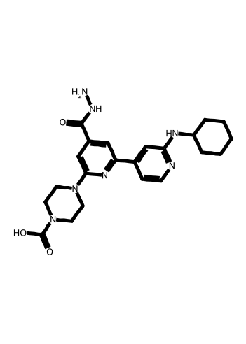 NNC(=O)c1cc(-c2ccnc(NC3CCCCC3)c2)nc(N2CCN(C(=O)O)CC2)c1